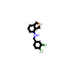 Clc1ccc(CNc2cccc3cscc23)cc1Cl